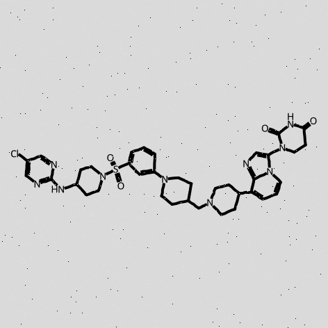 O=C1CCN(c2cnc3c(C4CCN(CC5CCN(c6cccc(S(=O)(=O)N7CCC(Nc8ncc(Cl)cn8)CC7)c6)CC5)CC4)cccn23)C(=O)N1